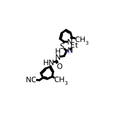 CC/N=C(/CNC(=O)NC1=CC(C)C=C(CC#N)C=C1)SC1C=CC=CC(C)=N1